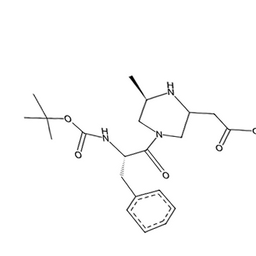 COC(=O)CC1CN(C(=O)[C@H](Cc2ccccc2)NC(=O)OC(C)(C)C)C[C@@H](C)N1